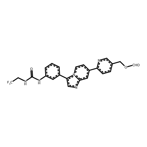 O=COCc1ccc(-c2ccn3c(-c4cccc(NC(=O)NCC(F)(F)F)c4)cnc3c2)nc1